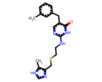 Cc1cccc(Cc2cnc(NCCSCc3nc[nH]c3C)[nH]c2=O)c1